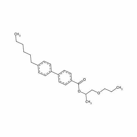 CCCCCCc1ccc(-c2ccc(C(=O)OC(C)COCCC)cc2)cc1